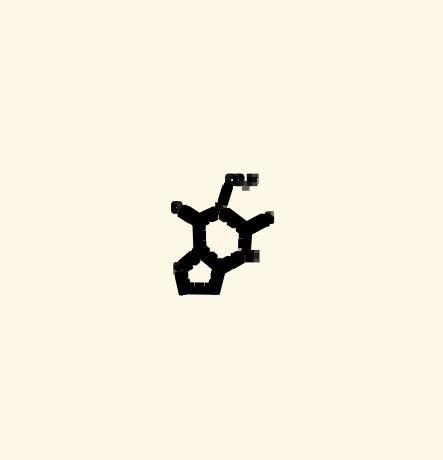 O=C(O)n1c(=S)[nH]c2ccsc2c1=O